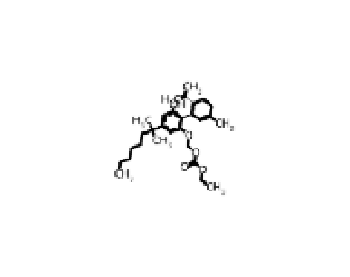 C=C(C)[C@@H]1CCC(C)=C[C@H]1c1c(O)cc(C(C)(C)CCCCCC)cc1OCOC(=O)OCC